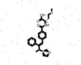 CSCC[C@H](NC(=O)c1ccc(C=C(c2ccccc2)C(C)n2ccnc2)cc1)C(=O)O